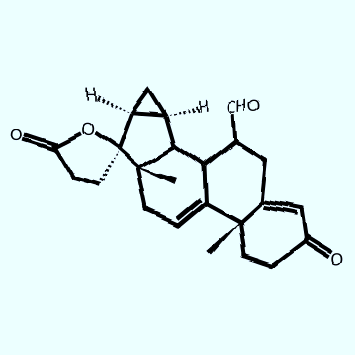 C[C@]12CCC(=O)C=C1CC(C=O)C1C2=CC[C@@]2(C)C1[C@@H]1C[C@@H]1[C@@]21CCC(=O)O1